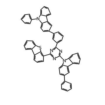 c1ccc(-c2ccc3c(c2)c2ccccc2n3-c2nc(-c3cccc(-c4ccc5c(c4)c4ccccc4n5-c4ccccc4)c3)nc(-c3cccc4c3sc3ccccc34)n2)cc1